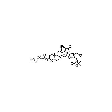 CC(C)C1=C2[C@H]3CCC4[C@@]5(C)CC[C@H](OC(=O)CC(C)(C)C(=O)O)C(C)(C)C5CC[C@@]4(C)[C@]3(C)CCC2(C(O)CN(CCN2C(=O)OC2(C)C)CC2CC2)CC1=O